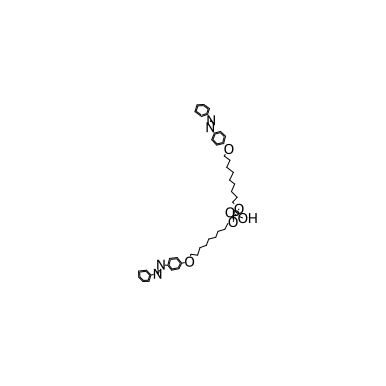 O=P(O)(OCCCCCCCCCOc1ccc(/N=N/c2ccccc2)cc1)OCCCCCCCCCOc1ccc(/N=N/c2ccccc2)cc1